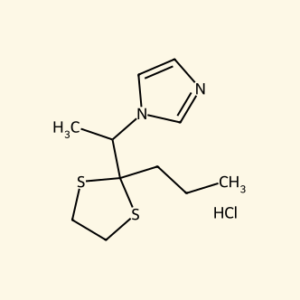 CCCC1(C(C)n2ccnc2)SCCS1.Cl